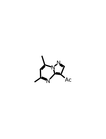 CC(=O)c1cnn2c(C)cc(C)nc12